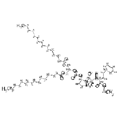 CCCCCCCCCCCCCCCC(=O)OCC(COC(=O)CCCCCCCCCCCCCCC)OC(=O)O[C@H]1CCCN1C(=O)[C@H](C)N[C@@H](CCc1ccccc1)C(=O)OCC